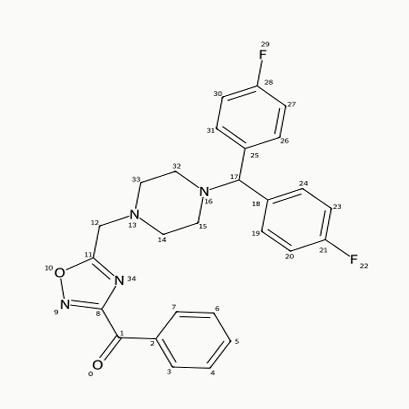 O=C(c1ccccc1)c1noc(CN2CCN(C(c3ccc(F)cc3)c3ccc(F)cc3)CC2)n1